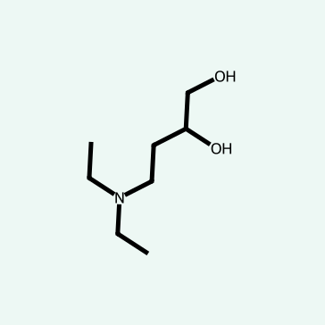 CCN(CC)CCC(O)CO